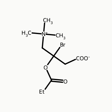 CCC(=O)OC(Br)(CC(=O)[O-])C[N+](C)(C)C